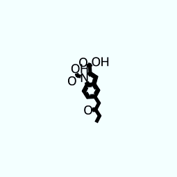 CCC(=O)Cc1ccc2c(c1)cc(C(=O)O)n2C(=O)O